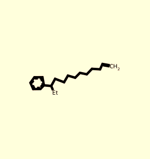 C=CCCCCCCCCC(CC)c1ccccc1